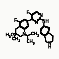 CC(C)N1CC(C)(C)Cc2c(F)cc(-c3nc(Nc4ccc5c(c4)CCNC5)ncc3F)cc21